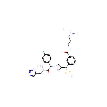 CN(C)CCCNC(=O)c1cccc(C(=C2CN(C(C(=O)[C@@H](N)Cc3c[nH]cn3)c3ccc(Cl)cc3)C2)S(C)(=O)=O)c1